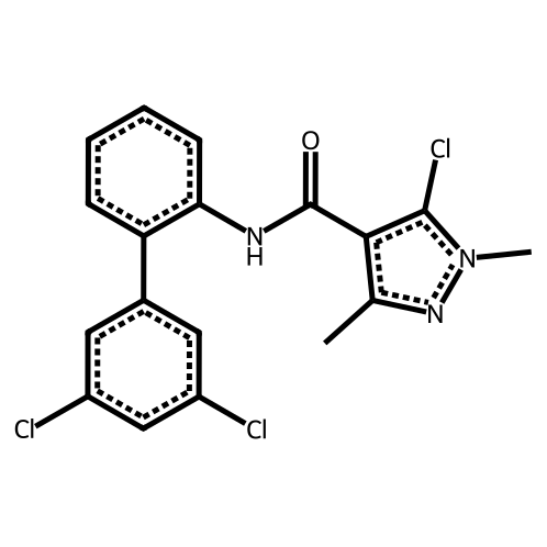 Cc1nn(C)c(Cl)c1C(=O)Nc1ccccc1-c1cc(Cl)cc(Cl)c1